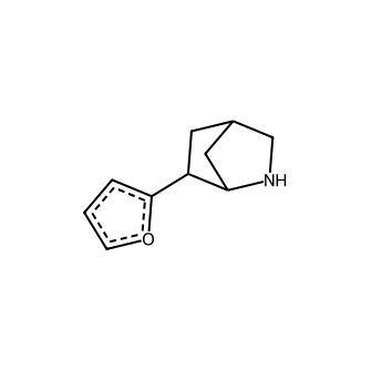 c1coc(C2CC3CNC2C3)c1